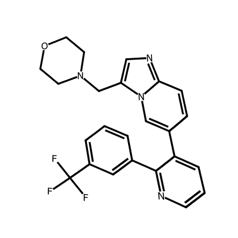 FC(F)(F)c1cccc(-c2ncccc2-c2ccc3ncc(CN4CCOCC4)n3c2)c1